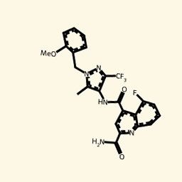 COc1ccccc1Cn1nc(C(F)(F)F)c(NC(=O)c2cc(C(N)=O)nc3cccc(F)c23)c1C